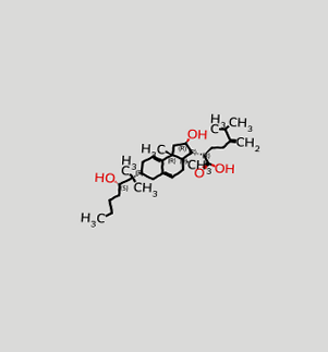 C=C(CC[C@@H](C(=O)O)[C@H]1[C@H](O)C[C@@]2(C)C3=CC[C@@H](C(C)(C)[C@@H](O)CCCC)CC3=CC[C@]12C)C(C)C